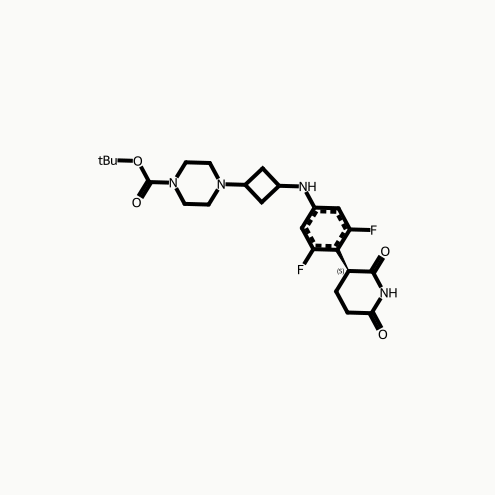 CC(C)(C)OC(=O)N1CCN(C2CC(Nc3cc(F)c([C@@H]4CCC(=O)NC4=O)c(F)c3)C2)CC1